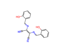 N#CC(/N=C/c1ccccc1O)=C(C#N)/N=C/c1ccccc1O